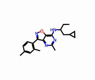 CCC(CC1CC1)Nc1nc(C)nc2c(-c3ccc(C)cc3C)noc12